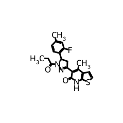 CCC(=O)N1N=C(c2c(C)c3ccsc3[nH]c2=O)CC1c1ccc(C)cc1F